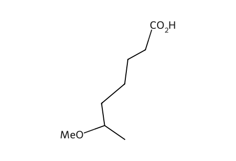 COC(C)CCCCC(=O)O